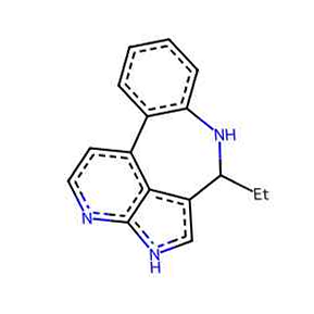 CCC1Nc2ccccc2-c2ccnc3[nH]cc1c23